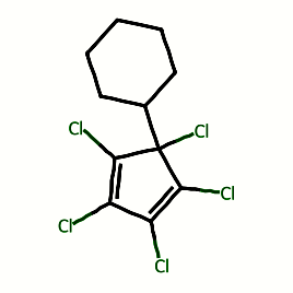 ClC1=C(Cl)C(Cl)(C2CCCCC2)C(Cl)=C1Cl